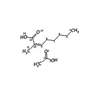 CC(=O)O.CCCCCC=C(C)C(=O)O